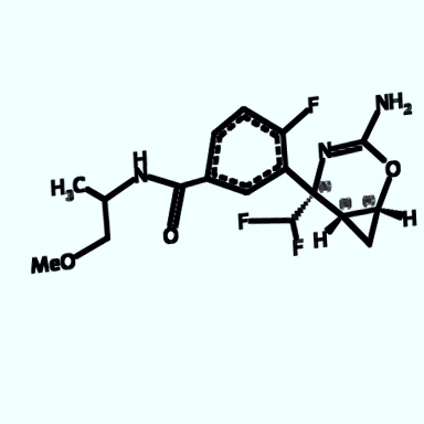 COCC(C)NC(=O)c1ccc(F)c([C@@]2(C(F)F)N=C(N)O[C@@H]3C[C@@H]32)c1